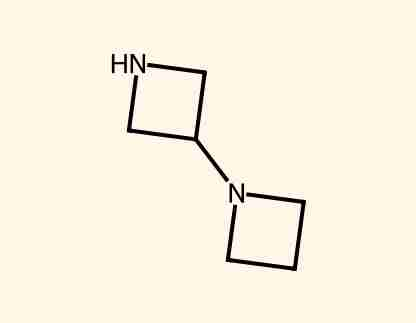 C1CN(C2CNC2)C1